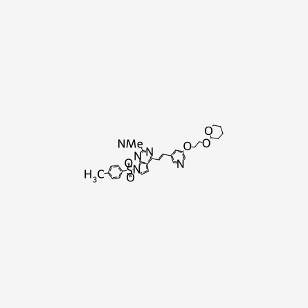 CNc1nc(C=Cc2cncc(OCCOC3CCCCO3)c2)c2ccn(S(=O)(=O)c3ccc(C)cc3)c2n1